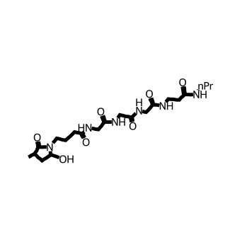 CCCNC(=O)CCNC(=O)CNC(=O)CNC(=O)CNC(=O)CCCN1C(=O)C(C)CC1O